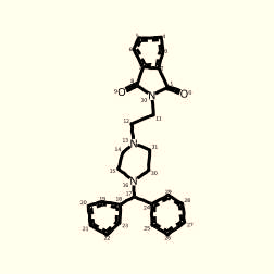 O=C1c2ccccc2C(=O)N1CCN1CCN(C(c2ccccc2)c2ccccc2)CC1